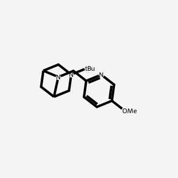 COc1ccc(CN2C3CC2CN(C(C)(C)C)C3)nc1